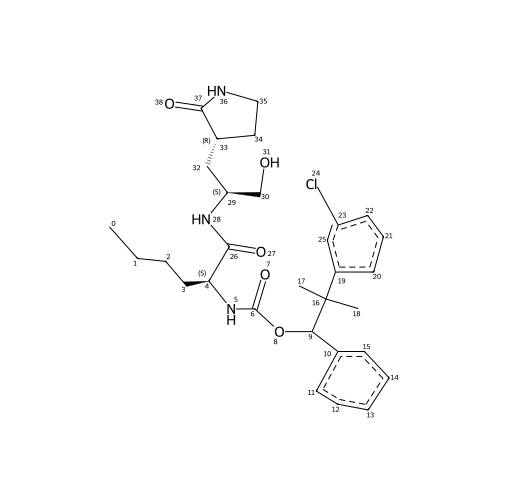 CCCC[C@H](NC(=O)OC(c1ccccc1)C(C)(C)c1cccc(Cl)c1)C(=O)N[C@H](CO)C[C@H]1CCNC1=O